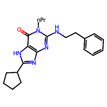 CCCn1c(NCCc2ccccc2)nc2nc(C3CCCC3)[nH]c2c1=O